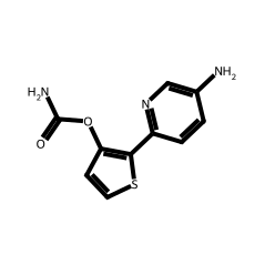 NC(=O)Oc1ccsc1-c1ccc(N)cn1